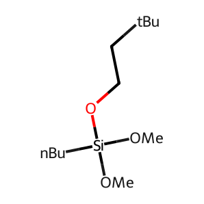 CCCC[Si](OC)(OC)OCCC(C)(C)C